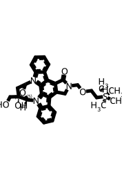 C[SH](C)(C)(C)CCOCN1Cc2c(c3c4ccccc4n4c3c3c2c2ccccc2n3[C@H]2OC4C[C@]2(O)CO)C1=O